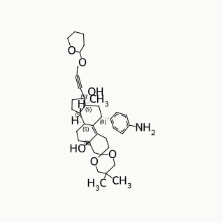 CC1(C)COC2(CCC3=C4[C@@H](CC[C@@]3(O)C2)[C@@H]2CC[C@@](O)(C#CCOC3CCCCO3)[C@@]2(C)C[C@@H]4c2ccc(N)cc2)OC1